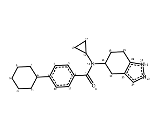 O=C(c1ccc(C2CCCCC2)cc1)N(C1CC1)C1CCc2[nH]ncc2C1